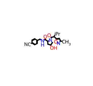 Cc1cc(C(C(=O)N2CC(O)CC2C(=O)NCc2ccc(C#N)cc2)C(C)C)on1